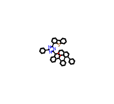 c1ccc(-c2nc(-c3ccc(-c4ccccc4-c4c(-c5ccccc5)ccc5ccccc45)c4ccccc34)nc(-c3cccc4c3sc3ccccc34)n2)cc1